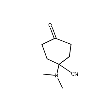 CN(C)C1(C#N)CCC(=O)CC1